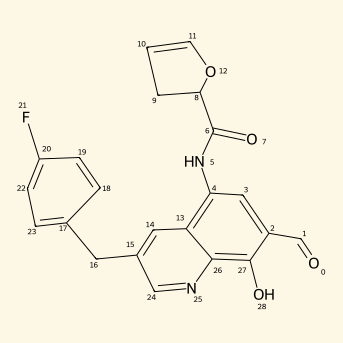 O=Cc1cc(NC(=O)C2CC=CO2)c2cc(Cc3ccc(F)cc3)cnc2c1O